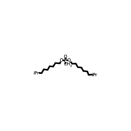 CC(C)CCCCCCCOP(C)(=O)OCCCCCCCC(C)C